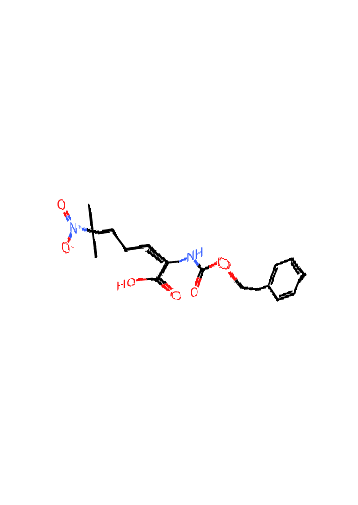 CC(C)(CC/C=C(/NC(=O)OCc1ccccc1)C(=O)O)[N+](=O)[O-]